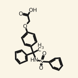 CC(NS(=O)(=O)c1ccccc1)(c1ccccc1)c1ccc(OCC(=O)O)cc1